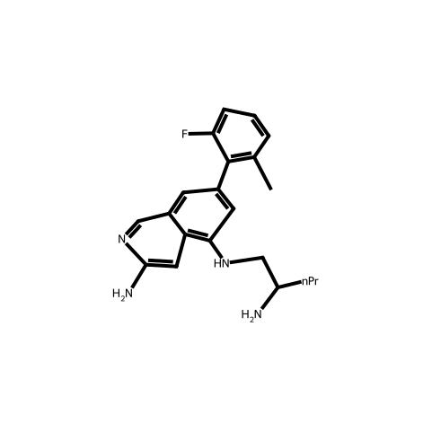 CCCC(N)CNc1cc(-c2c(C)cccc2F)cc2cnc(N)cc12